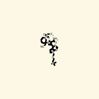 C[Si](C)(C)CCOCn1ccc2c(-c3cn(C4(CC#N)C=CC=CN(S(=O)(=O)CC(F)(F)F)C4)nc3C(N)=O)ncnc21